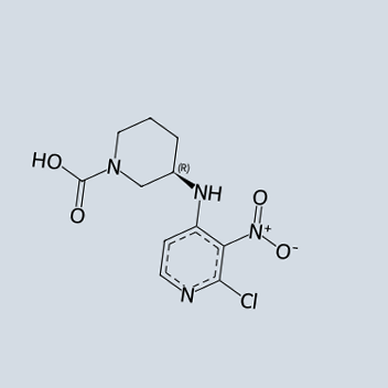 O=C(O)N1CCC[C@@H](Nc2ccnc(Cl)c2[N+](=O)[O-])C1